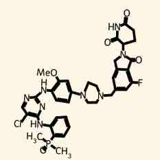 COc1cc(N2CCN(Cc3cc(F)c4c(c3)CN(C3CCC(=O)NC3=O)C4=O)CC2)ccc1Nc1ncc(Cl)c(Nc2ccccc2P(C)(C)=O)n1